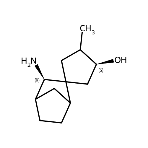 CC1CC2(C[C@@H]1O)C1CCC(C1)[C@H]2N